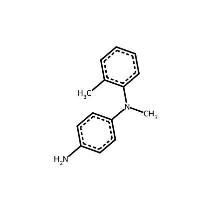 Cc1ccccc1N(C)c1ccc(N)cc1